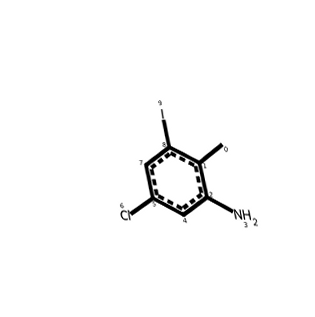 Cc1c(N)cc(Cl)cc1I